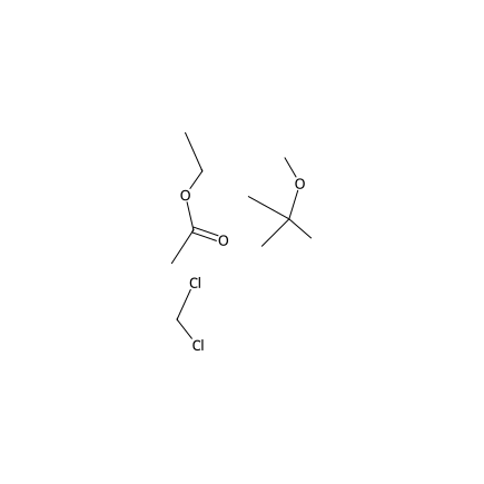 CCOC(C)=O.COC(C)(C)C.ClCCl